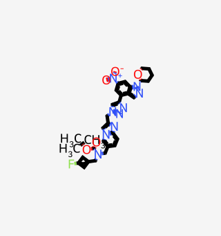 CC(C)(C)OC(=O)N(Cc1ccc2nc(Cn3cc(-c4cc([N+](=O)[O-])cc5c4cnn5C4CCCCO4)nn3)cn2c1)CC12CC(F)(C1)C2